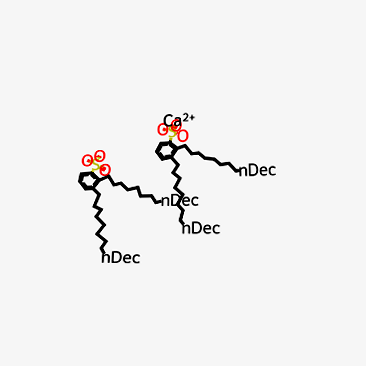 CCCCCCCCCCCCCCCCCCc1cccc(S(=O)(=O)[O-])c1CCCCCCCCCCCCCCCCCC.CCCCCCCCCCCCCCCCCCc1cccc(S(=O)(=O)[O-])c1CCCCCCCCCCCCCCCCCC.[Ca+2]